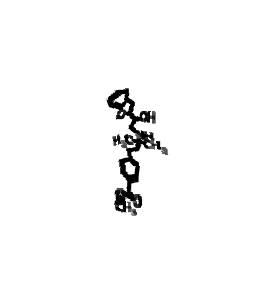 COC(=O)c1ccc(CCC(C)(C)NCC(O)c2cc3ccccc3o2)cc1